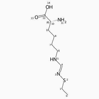 CCSN=CNCCCC[C@@H](N)C(=O)O